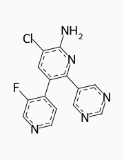 Nc1nc(-c2cncnc2)c(-c2ccncc2F)cc1Cl